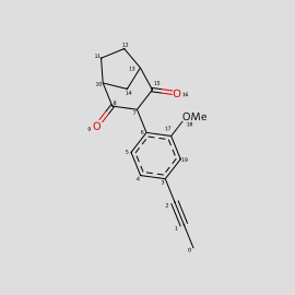 CC#Cc1ccc(C2C(=O)C3CCC(C3)C2=O)c(OC)c1